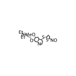 CCN(CC)CCCOc1cc2nccc(Sc3ccc(N=O)s3)c2cc1OC